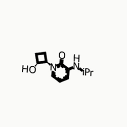 CC(C)Nc1cccn([C@@H]2CC[C@H]2O)c1=O